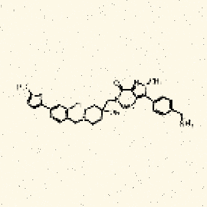 Cc1ccc(-c2ccc(CN3CCC(O)(Cn4cnc5c(-c6ccc(CN)cc6)n(C)nc5c4=O)CC3)c(Cl)c2)s1